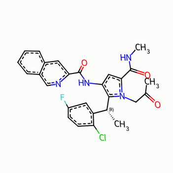 CNC(=O)c1cc(NC(=O)c2cc3ccccc3cn2)c([C@H](C)c2cc(F)ccc2Cl)n1CC(C)=O